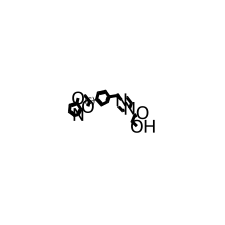 O=C(CO)N1CCN(Cc2ccc([C@H]3COc4cccnc4O3)cc2)CC1